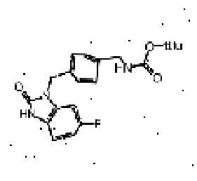 CC(C)(C)OC(=O)NCc1ccc(Cn2c(=O)[nH]c3ccc(F)cc32)cc1